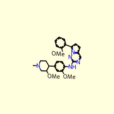 COc1cc(C2CCN(C)CC2OC)ccc1Nc1ncc2ccc(-c3ccccc3OC)n2n1